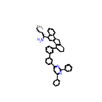 C/C=C\C=C(/N)c1cc2c(c3ccccc13)CC1=C2C(c2cccc(-c3cccc(-c4cc(-c5ccccc5)nc(-c5ccccc5)n4)c3)c2)=CCC1